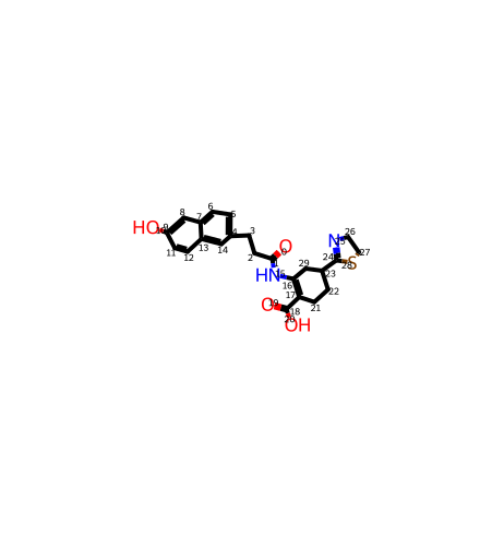 O=C(CCc1ccc2cc(O)ccc2c1)NC1=C(C(=O)O)CCC(C2=NCCS2)C1